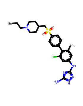 CC(C)(C)CCN1CCC(CS(=O)(=O)c2ccc(-c3c(Cl)cc(Nc4n[nH]c(N)n4)cc3C(F)(F)F)cc2)CC1